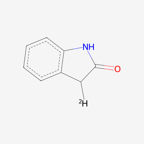 [2H]C1C(=O)Nc2ccccc21